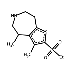 CCS(=O)(=O)c1sc2c(c1C)C(C)CNCC2